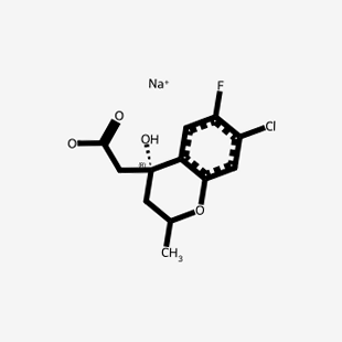 CC1C[C@@](O)(CC(=O)[O-])c2cc(F)c(Cl)cc2O1.[Na+]